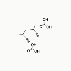 C#CC(C)C.C#CC(C)C.O=C(O)O.O=C(O)O